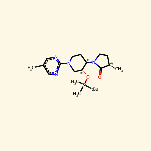 C[C@H]1CCN([C@@H]2CCN(c3ncc(C(F)(F)F)cn3)C[C@H]2O[Si](C)(C)C(C)(C)C)C1=O